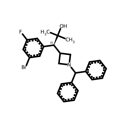 CC(C)(O)[C@H](c1cc(F)cc(Br)c1)C1CN(C(c2ccccc2)c2ccccc2)C1